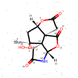 CC(C)(C)[C@]1(O)C[C@@H]2OC(=O)C[C@@]23C(=O)O[C@@H]2NC(=O)[C@H](O)[C@]213